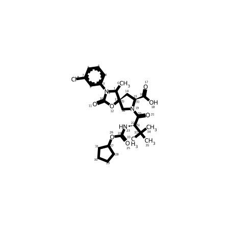 CC1N(c2cccc(Cl)c2)C(=O)O[C@]12C[C@@H](C(=O)O)N(C(=O)[C@@H](NC(=O)OC1CCCC1)C(C)(C)C)C2